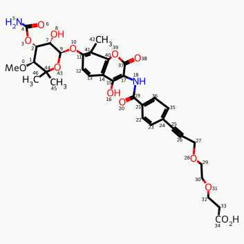 CO[C@H]1[C@H](OC(N)=O)[C@H](O)[C@@H](Oc2ccc3c(O)c(NC(=O)c4ccc(C#CCOCCOCCC(=O)O)cc4)c(=O)oc3c2C)OC1(C)C